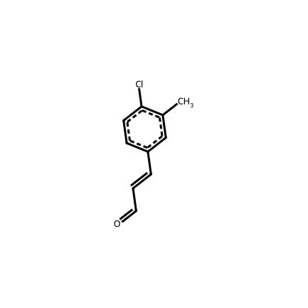 Cc1cc(C=CC=O)ccc1Cl